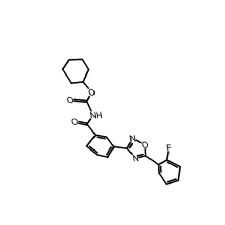 O=C(NC(=O)c1cccc(-c2noc(-c3ccccc3F)n2)c1)OC1CCCCC1